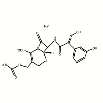 NC(=O)OCC1=C(C(=O)[O-])N2C(=O)C(NC(=O)C(=NO)c3cccc(O)c3)[C@@H]2SC1.[Na+]